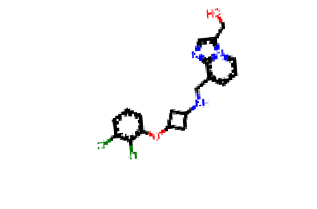 OCc1cnc2c(CNC3CC(Oc4cccc(Cl)c4Cl)C3)cccn12